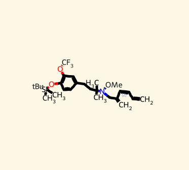 C=C/C=C\C(=C)CN(OC)C(C)(C)CCc1ccc(O[Si](C)(C)C(C)(C)C)c(OC(F)(F)F)c1